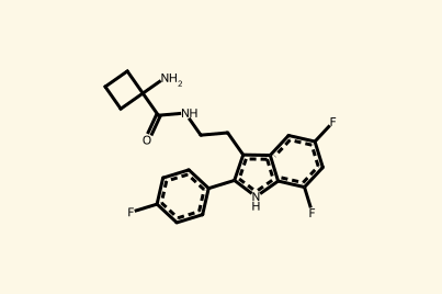 NC1(C(=O)NCCc2c(-c3ccc(F)cc3)[nH]c3c(F)cc(F)cc23)CCC1